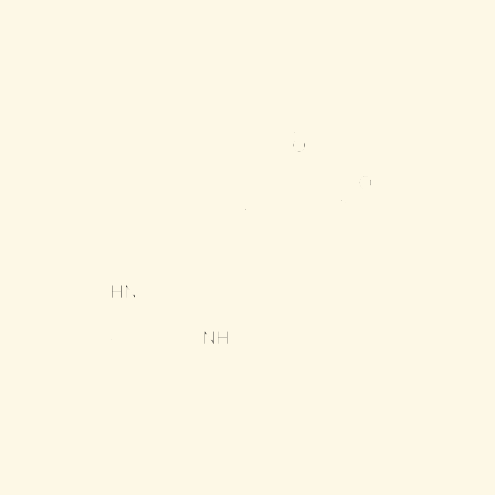 c1cc2c(cc1C1CNCCN1)OCO2